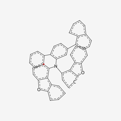 c1ccc(-c2ccc(-c3cccc4ccccc34)cc2N(c2cccc3oc4ccccc4c23)c2cccc3oc4ccccc4c23)cc1